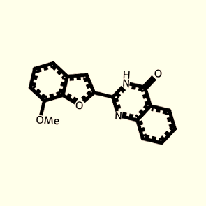 COc1cccc2cc(-c3nc4ccccc4c(=O)[nH]3)oc12